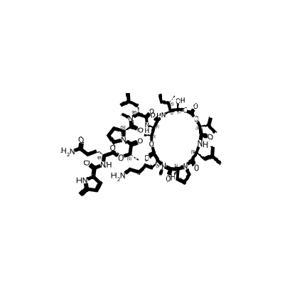 C=C1CCC(C(=O)N[C@H](CCC(N)=O)C(=O)O[C@@H](C)C(=O)N2CCC[C@H]2C(=O)N(C)[C@H](CC(C)C)C(=O)N[C@H]2C(=O)N[C@@H]([C@@H](C)CC)[C@@H](O)CC(=O)O[C@@H](C(C)C)C(=O)N[C@@H](CC(C)C)C(=O)N3CCC[C@H]3C(=O)N(C)[C@@H](CCCCN)C(=O)O[C@H]2C)N1